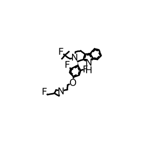 CC(C)(F)CN1CCc2c([nH]c3ccccc23)[C@@H]1c1c(F)cc(OCCN2CC(CF)C2)cc1F